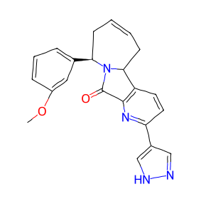 COc1cccc([C@H]2CC=CCC3c4ccc(-c5cn[nH]c5)nc4C(=O)N32)c1